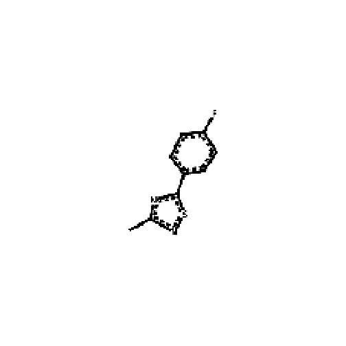 Cc1nsc(-c2ccc(F)cc2)n1